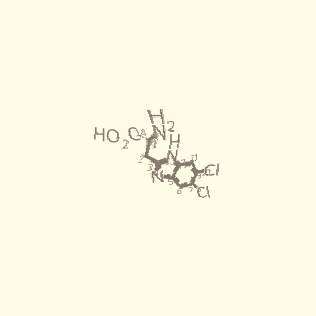 N[C@H](Cc1nc2cc(Cl)c(Cl)cc2[nH]1)C(=O)O